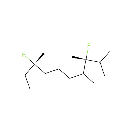 CC[C@](C)(F)CCCC(C)[C@](C)(F)C(C)C